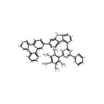 Bc1c(B)c(B)c(-c2nc(-c3ccccc3)nc(-c3cccc4sc5cc(-c6ccc7c8ccccc8c8ccccc8c7c6)ccc5c34)n2)c(B)c1B